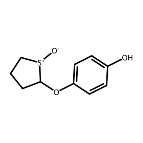 [O-][S+]1CCCC1Oc1ccc(O)cc1